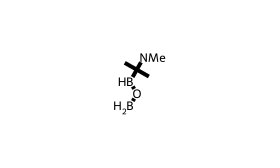 BOBC(C)(C)NC